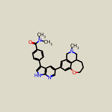 CN1Cc2cc(-c3cnc4[nH]cc(-c5ccc(C(=O)N(C)C)cc5)c4c3)cc3c2C(CCCO3)C1